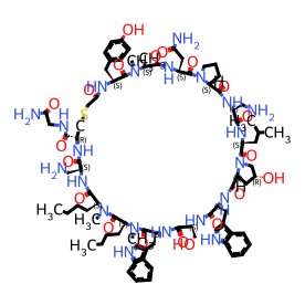 CCCC[C@H]1C(=O)N(C)[C@@H](CCCC)C(=O)N[C@@H](CN)C(=O)N[C@H](C(=O)NCC(N)=O)CSCC(=O)N[C@@H](Cc2ccc(O)cc2)C(=O)N(C)[C@@H](C)C(=O)N[C@@H](CC(N)=O)C(=O)N2CCC[C@H]2C(=O)N[C@@H](CN)C(=O)N[C@@H](CC(C)C)C(=O)N2C[C@H](O)C[C@H]2C(=O)N[C@@H](Cc2c[nH]c3ccccc23)C(=O)N[C@@H](CO)C(=O)N[C@@H](Cc2c[nH]c3ccccc23)C(=O)N1C